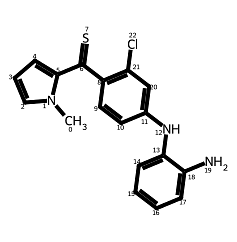 Cn1cccc1C(=S)c1ccc(Nc2ccccc2N)cc1Cl